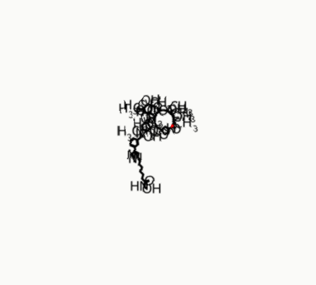 CC[C@H]1OC(=O)[C@H](C)[C@@H](O[C@H]2C[C@@](C)(OC)[C@@H](O)[C@H](C)O2)[C@H](C)[C@@H](O[C@@H]2O[C@H](C)C[C@H](N(C)Cc3cccc(-c4cn(CCCCCCC(=O)NO)nn4)c3)[C@H]2O)[C@@]2(C)C[C@@H](CO2)C(=O)[C@H](C)[C@@H](O)[C@]1(C)O